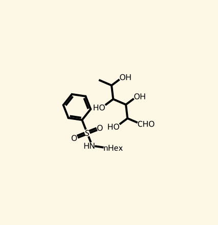 CC(O)C(O)C(O)C(O)C=O.CCCCCCNS(=O)(=O)c1ccccc1